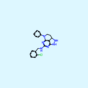 Clc1ccccc1CNc1nc2c3c(n1)N(c1ccccc1)CCC3NN2